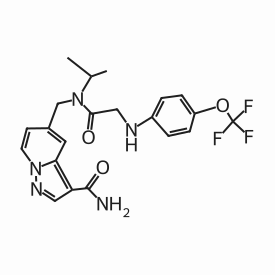 CC(C)N(Cc1ccn2ncc(C(N)=O)c2c1)C(=O)CNc1ccc(OC(F)(F)F)cc1